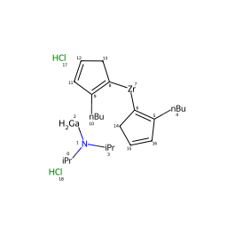 CC(C)[N]([GaH2])C(C)C.CCCCC1=[C]([Zr][C]2=C(CCCC)C=CC2)CC=C1.Cl.Cl